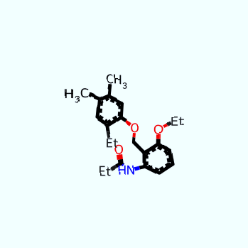 CCOc1cccc(NC(=O)CC)c1COc1cc(C)c(C)cc1CC